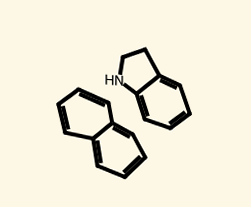 c1ccc2c(c1)CCN2.c1ccc2ccccc2c1